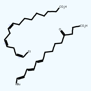 CC/C=C\C/C=C\C/C=C\CCCCCCCC(=O)O.CCCCC=CC=CC=CCCCCC(=O)CCC(=O)O